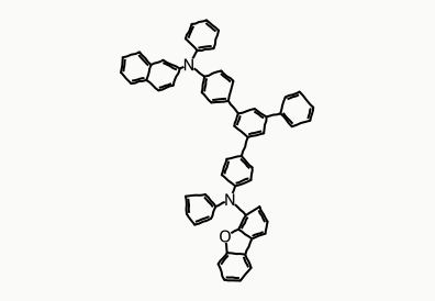 c1ccc(-c2cc(-c3ccc(N(c4ccccc4)c4ccc5ccccc5c4)cc3)cc(-c3ccc(N(c4ccccc4)c4cccc5c4oc4ccccc45)cc3)c2)cc1